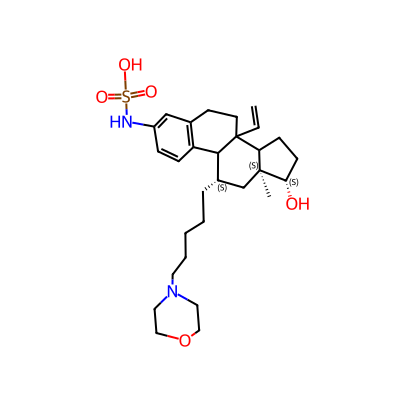 C=CC12CCc3cc(NS(=O)(=O)O)ccc3C1[C@@H](CCCCCN1CCOCC1)C[C@@]1(C)C2CC[C@@H]1O